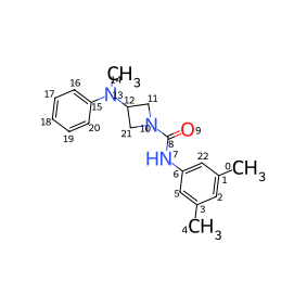 Cc1cc(C)cc(NC(=O)N2CC(N(C)c3ccccc3)C2)c1